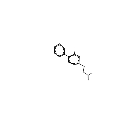 CC(O)CCc1ccc(-c2ccccc2)c(Cl)c1